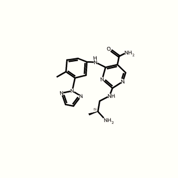 Cc1ccc(Nc2nc(NC[C@H](C)N)ncc2C(N)=O)cc1-n1nccn1